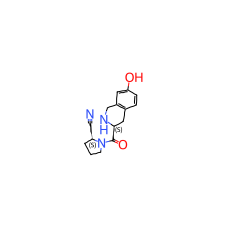 N#C[C@@H]1CCCN1C(=O)[C@@H]1Cc2ccc(O)cc2CN1